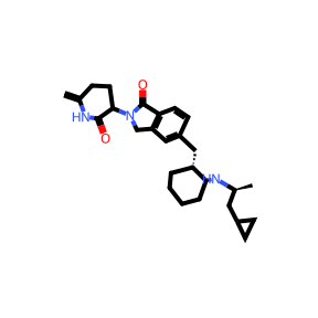 C=C1CCC(N2Cc3cc(C[C@H]4CCCC[C@@H]4N[C@@H](C)CC4CC4)ccc3C2=O)C(=O)N1